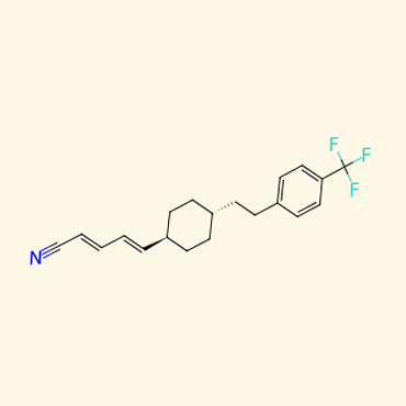 N#CC=CC=C[C@H]1CC[C@H](CCc2ccc(C(F)(F)F)cc2)CC1